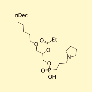 CCCCCCCCCCCCCCCOCC(COP(=O)(O)CCCN1CCCC1)OC(=O)CC